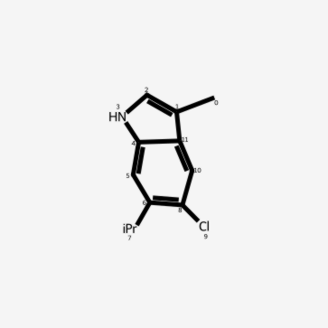 Cc1c[nH]c2cc(C(C)C)c(Cl)cc12